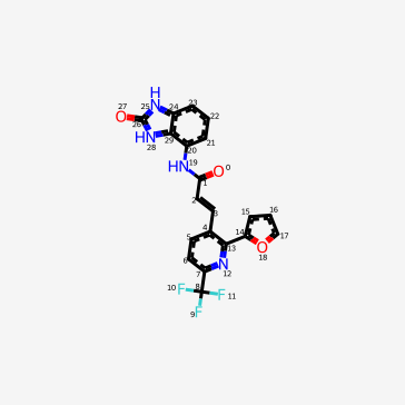 O=C(/C=C/c1ccc(C(F)(F)F)nc1-c1ccco1)Nc1cccc2[nH]c(=O)[nH]c12